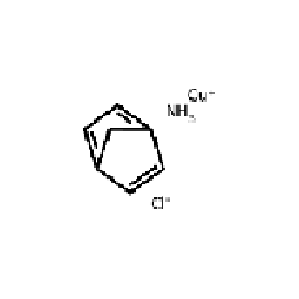 C1=CC2=CC=C1C2.N.[Cl-].[Cu+]